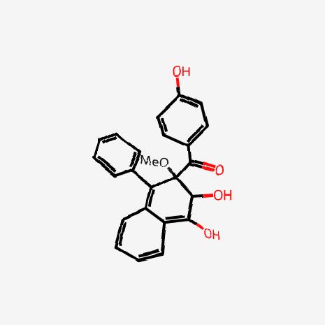 COC1(C(=O)c2ccc(O)cc2)C(c2ccccc2)=c2ccccc2=C(O)C1O